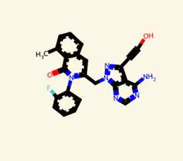 Cc1cccc2cc(Cn3nc(C#CO)c4c(N)ncnc43)n(-c3ccccc3F)c(=O)c12